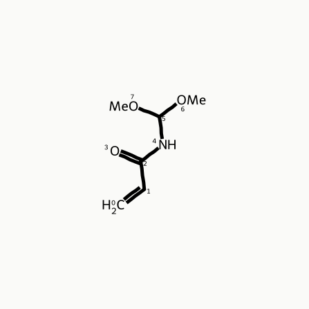 C=CC(=O)NC(OC)OC